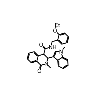 CCOc1ccccc1CNC(=O)C1c2ccccc2C(=O)N(C)C1c1cn(C)c2ccccc12